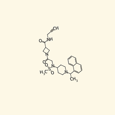 C#CCNC(=O)C1CN(C(=O)CN(C2CCN(C(C)c3cccc4ccccc34)CC2)S(C)(=O)=O)C1